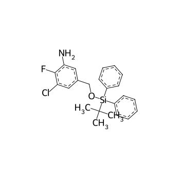 CC(C)(C)[Si](OCc1cc(N)c(F)c(Cl)c1)(c1ccccc1)c1ccccc1